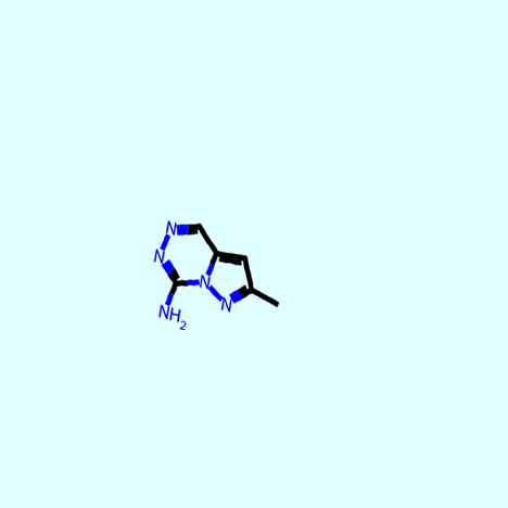 Cc1cc2cnnc(N)n2n1